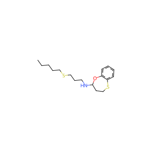 CCCCCSCCCNC1CCSc2ccccc2O1